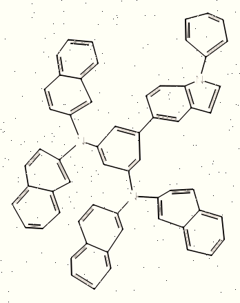 c1ccc(-n2ccc3cc(-c4cc(N(c5ccc6ccccc6c5)c5ccc6ccccc6c5)cc(N(c5ccc6ccccc6c5)c5ccc6ccccc6c5)c4)ccc32)cc1